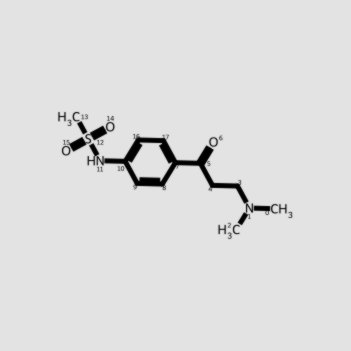 CN(C)CCC(=O)c1ccc(NS(C)(=O)=O)cc1